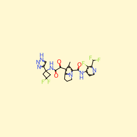 Cc1c(C(=O)C(=O)NC2(c3c[nH]nn3)CC(F)(F)C2)c2n(c1C(=O)Nc1ccnc(C(F)F)c1F)CCC2